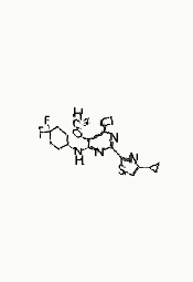 COc1c(Cl)nc(-c2nc(C3CC3)cs2)nc1NC1CCC(F)(F)CC1